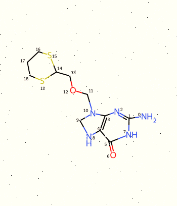 Nc1nc2c(c(=O)[nH]1)NCN2COCC1SCCCS1